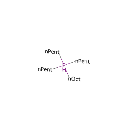 CCCCCCCC[PH](CCCCC)(CCCCC)CCCCC